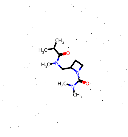 CC(C)C(=O)N(C)CC1CCN1C(=O)N(C)C